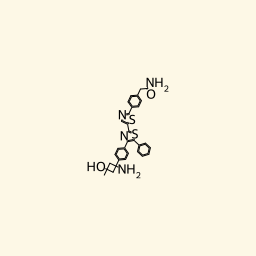 CC1(O)CC(N)(c2ccc(-c3nc(-c4cnc(-c5ccc(CC(N)=O)cc5)s4)sc3-c3ccccc3)cc2)C1